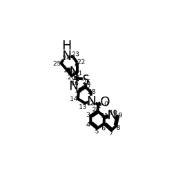 O=C(c1cccc2cccnc12)N1CCc2nc(N3C4CCC3CNC4)sc2C1